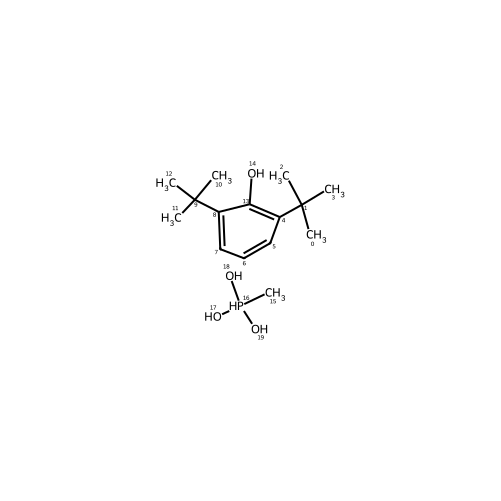 CC(C)(C)c1cccc(C(C)(C)C)c1O.C[PH](O)(O)O